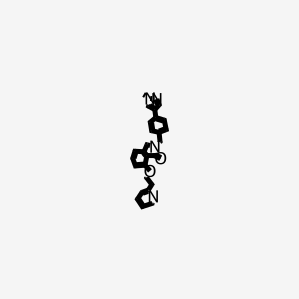 Cn1cc(-c2ccc(CN3Cc4cccc(OCCc5ccccn5)c4C3=O)cc2)cn1